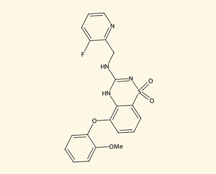 COc1ccccc1Oc1cccc2c1NC(NCc1ncccc1F)=NS2(=O)=O